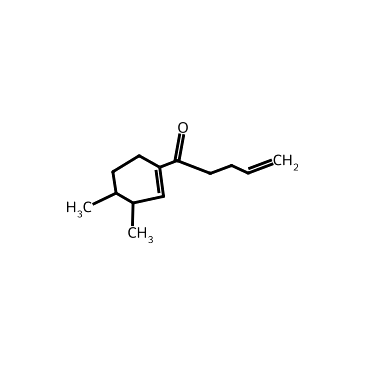 C=CCCC(=O)C1=CC(C)C(C)CC1